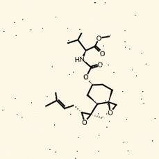 COC(=O)[C@@H](NC(=O)O[C@@H]1CC[C@]2(CO2)[C@@H]([C@@]2(C)O[C@@H]2CC=C(C)C)C1)C(C)C